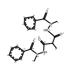 CC(C(=O)NN(C)C(=S)c1ccccc1)C(=O)NN(C)C(=S)c1ccccc1